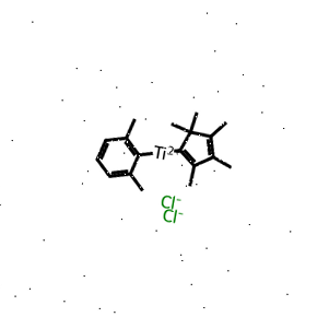 CC1=C(C)C(C)(C)[C]([Ti+2][c]2c(C)cccc2C)=C1C.[Cl-].[Cl-]